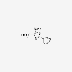 CCOC(=O)c1nc(-c2cccnc2)sc1NC